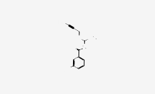 N#CC(NC(=O)c1cccc(C(F)(F)F)c1)OCC#CBr